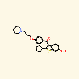 O=C(c1ccc(OCCCN2CCCCC2)cc1)c1c(C2CCCC2)sc2cc(O)ccc12